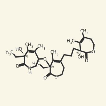 CC[C@]1(O)C(=O)NCC(O[C@@]2(CC)C(=O)SCCC(CCC[C@]3(O)C(=O)OCCC(C)=C3C)=C2C)C(C)=C1C